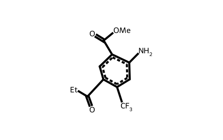 CCC(=O)c1cc(C(=O)OC)c(N)cc1C(F)(F)F